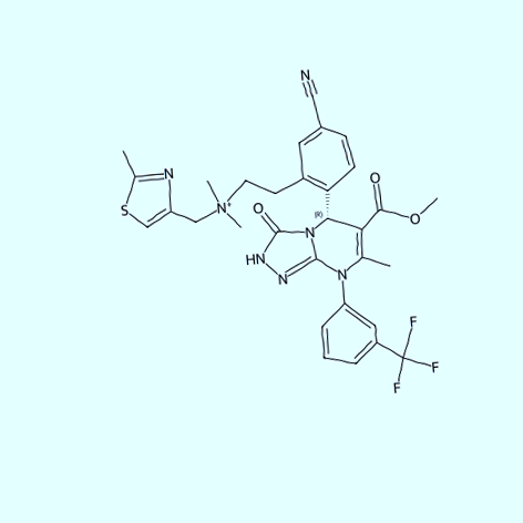 COC(=O)C1=C(C)N(c2cccc(C(F)(F)F)c2)c2n[nH]c(=O)n2[C@@H]1c1ccc(C#N)cc1CC[N+](C)(C)Cc1csc(C)n1